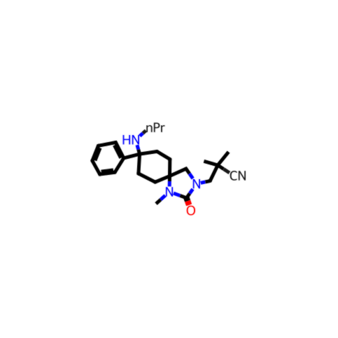 CCCNC1(c2ccccc2)CCC2(CC1)CN(CC(C)(C)C#N)C(=O)N2C